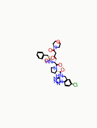 O=C(NCc1cc(Cl)ccc1-n1cnnn1)[C@@H]1CCCN1C(=O)[C@@H](CCCC(=O)N1CCOCC1)NS(=O)(=O)Cc1ccccc1